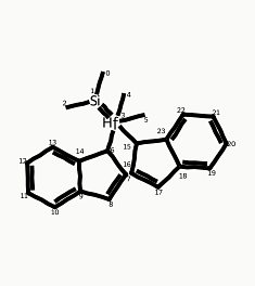 C[Si](C)=[Hf]([CH3])([CH3])([CH]1C=Cc2ccccc21)[CH]1C=Cc2ccccc21